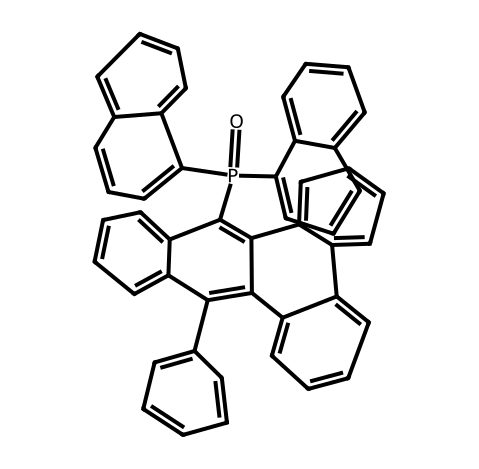 O=P(c1cccc2ccccc12)(c1cccc2ccccc12)c1c2ccccc2c(-c2ccccc2)c2c3ccccc3c3ccccc3c12